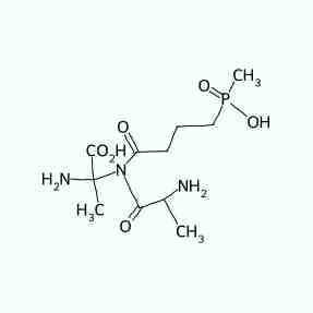 CC(N)C(=O)N(C(=O)CCCP(C)(=O)O)C(C)(N)C(=O)O